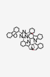 C1#CCC(n2c3ccccc3c3cccc(-n4c5c(c6cccc(-c7nc(-c8ccccc8)nc(-c8cccc9c8oc8ccccc89)n7)c64)C=CCC5)c32)=c2ccccc2=C1